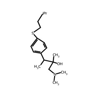 CC(C)CCSc1ccc(C(C)C(C)(O)CN(C)C)cc1